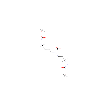 CC(C)(CCCN(CCC(C)(C)NC(=O)OC(C)(C)C)C(=O)O)NC(=O)OC(C)(C)C